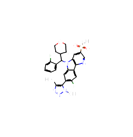 Cc1nnn(C)c1-c1cc2c(cc1F)c1ncc(S(C)(=O)=O)cc1n2C(c1ccccc1F)C1CCOCC1